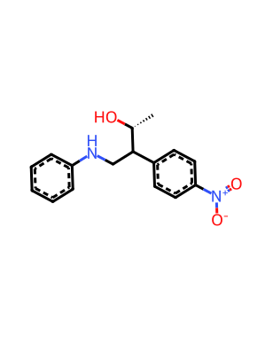 C[C@@H](O)C(CNc1ccccc1)c1ccc([N+](=O)[O-])cc1